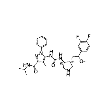 COC(C[C@@H]1CNC[C@H]1NC(=O)Nc1c(C)c(C(=O)NC(C)C)nn1-c1ccccc1)c1ccc(F)c(F)c1